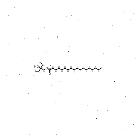 CCCCCCCCCCCCCCCCCC(=O)OCC(O)(CC)CC